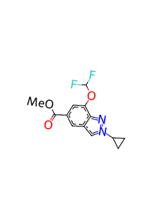 COC(=O)c1cc(OC(F)F)c2nn(C3CC3)cc2c1